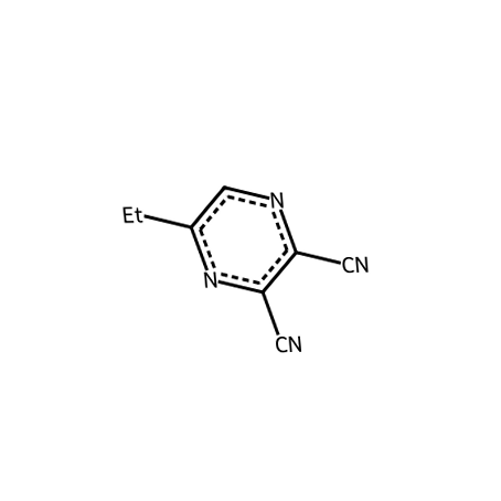 CCc1cnc(C#N)c(C#N)n1